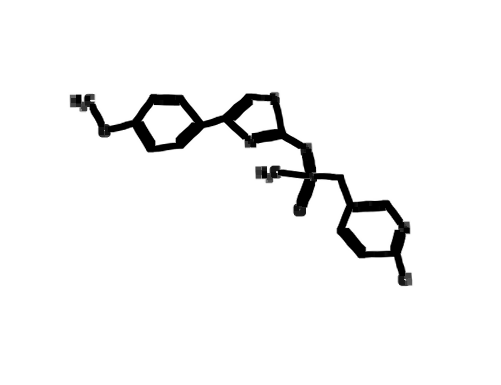 COc1ccc(-c2csc(N=S(C)(=O)Cc3ccc(Cl)nc3)n2)cc1